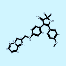 COc1ccc(C2=C(c3ccc(OCC4CN5N=CC=CC5=N4)cc3)C(=O)C(C)(C)O2)cc1